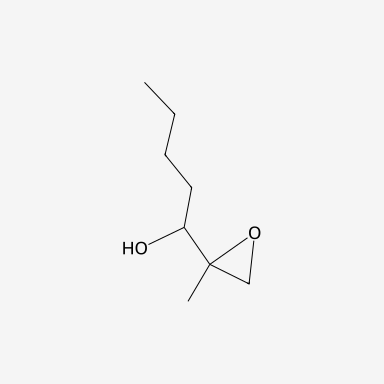 CCCCC(O)C1(C)CO1